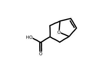 O=C(O)C1CC2C=CC(C1)O2